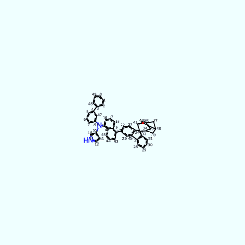 c1ccc(-c2cccc(N(c3cc[nH]c3)c3cccc4c(-c5ccc6c(c5)-c5ccccc5C65C6CC7CC(C6)CC5C7)cccc34)c2)cc1